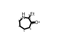 CCC1NCCCCC1=O